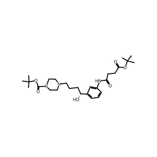 CC(C)(C)OC(=O)CCC(=O)Nc1cccc([C@H](O)CCCN2CCN(C(=O)OC(C)(C)C)CC2)c1